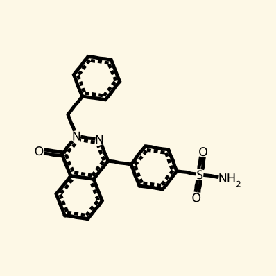 NS(=O)(=O)c1ccc(-c2nn(Cc3ccccc3)c(=O)c3ccccc23)cc1